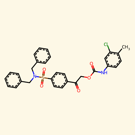 Cc1ccc(NC(=O)OCC(=O)c2ccc(S(=O)(=O)N(Cc3ccccc3)Cc3ccccc3)cc2)cc1Cl